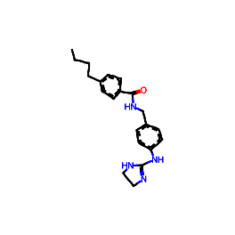 CCCCc1ccc(C(=O)NCc2ccc(NC3=NCCN3)cc2)cc1